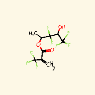 C=C(C(=O)OC(C)C(F)(F)C(O)C(F)(F)F)C(F)(F)F